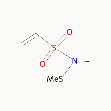 C=CS(=O)(=O)N(C)SC